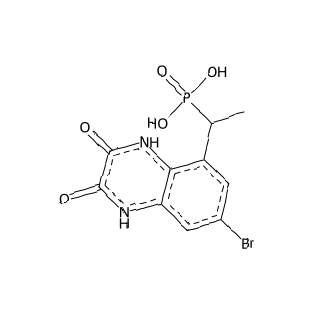 CC(c1cc(Br)cc2[nH]c(=O)c(=O)[nH]c12)P(=O)(O)O